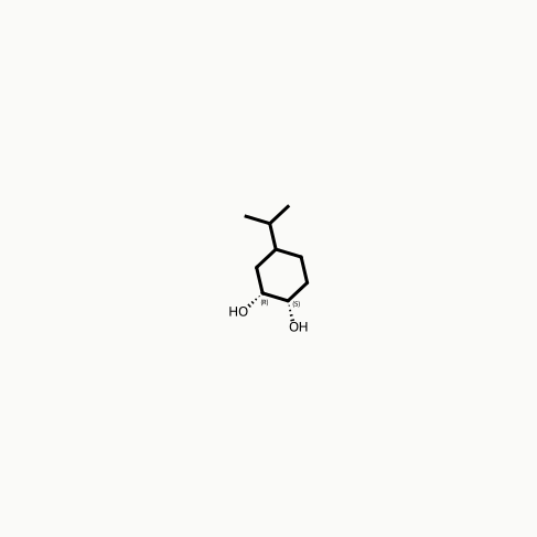 CC(C)C1CC[C@H](O)[C@H](O)C1